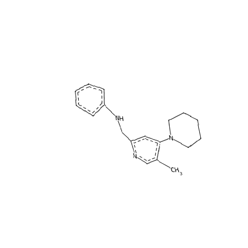 Cc1cnc(CNc2ccccc2)cc1N1CCCCC1